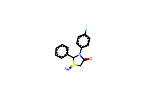 N=S1CC(=O)N(c2ccc(F)cc2)C1c1ccccc1